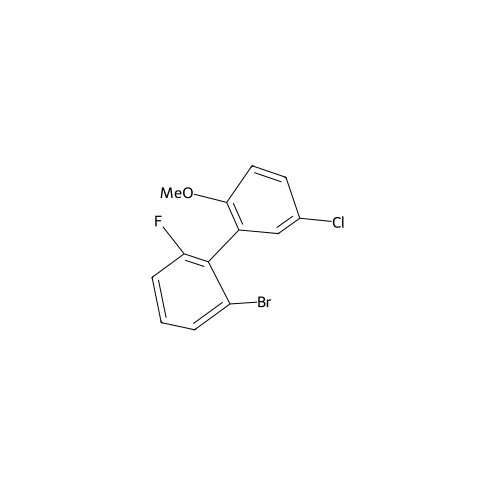 COc1ccc(Cl)cc1-c1c(F)cccc1Br